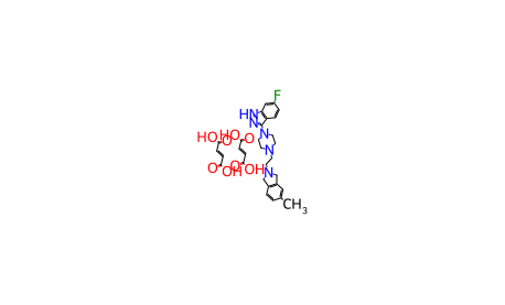 Cc1ccc2c(c1)CN(CCN1CCN(c3n[nH]c4cc(F)ccc34)CC1)C2.O=C(O)C=CC(=O)O.O=C(O)C=CC(=O)O